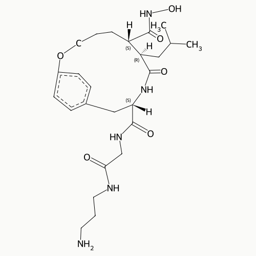 CC(C)C[C@H]1C(=O)N[C@H](C(=O)NCC(=O)NCCCN)Cc2ccc(cc2)OCCC[C@@H]1C(=O)NO